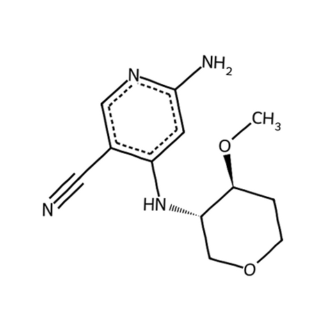 CO[C@H]1CCOC[C@@H]1Nc1cc(N)ncc1C#N